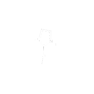 Cl.[CH3][Zn][c]1ncc[nH]1